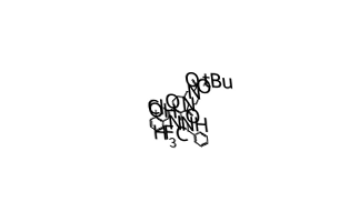 C[C@@H](Nc1nc(-c2c(O)cccc2F)c(Cl)c2c1C(=O)N1CCN(C(=O)OC(C)(C)C)CC1CO2)c1ccccc1